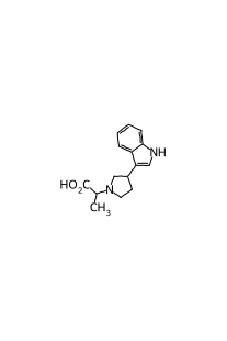 CC(C(=O)O)N1CCC(c2c[nH]c3ccccc23)C1